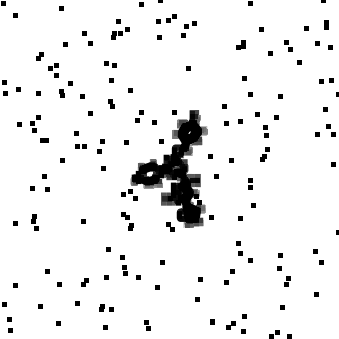 CN1CCN(c2nc(Nc3cc(-c4ccco4)[nH]n3)nc(OCc3ccc(F)cc3)n2)CC1